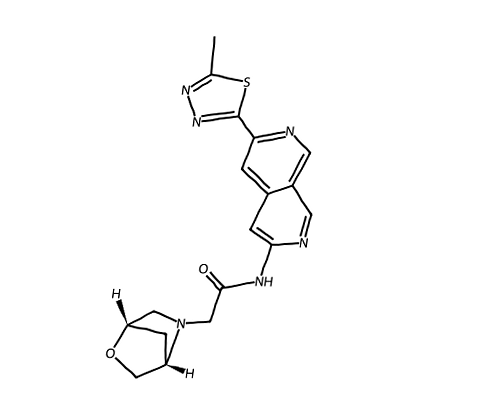 Cc1nnc(-c2cc3cc(NC(=O)CN4C[C@@H]5C[C@H]4CO5)ncc3cn2)s1